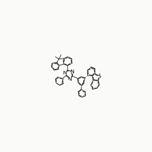 CC1(C)c2ccccc2-c2c(-c3nc(-c4ccccc4)nc(-c4cc(-c5ccccc5)cc(-c5cccc6sc7ccccc7c56)c4)n3)cccc21